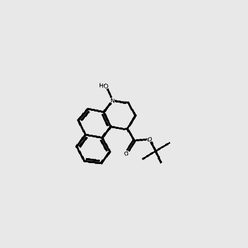 CC(C)(C)OC(=O)C1CCN(O)c2ccc3ccccc3c21